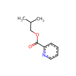 CC(C)COC(=O)c1ccccn1